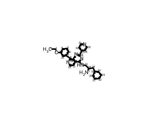 CCOc1cccc(-c2nccc3c(NCC(N)Cc4ccccc4)nc(-c4ccncc4)nc23)c1